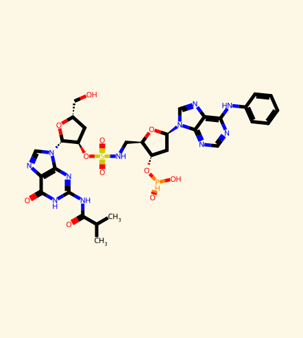 CC(C)C(=O)Nc1nc2c(ncn2[C@@H]2O[C@H](CO)C[C@H]2OS(=O)(=O)NC[C@H]2O[C@@H](n3cnc4c(Nc5ccccc5)ncnc43)C[C@@H]2O[PH](=O)O)c(=O)[nH]1